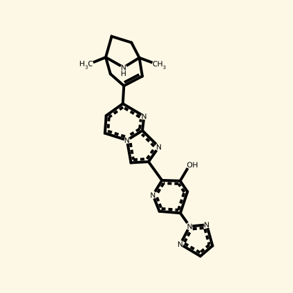 CC12C=C(c3ccn4cc(-c5ncc(-n6nccn6)cc5O)nc4n3)CC(C)(CC1)N2